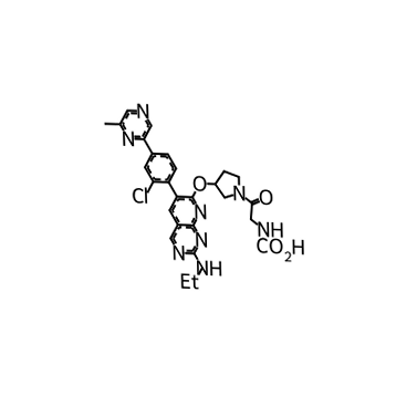 CCNc1ncc2cc(-c3ccc(-c4cncc(C)n4)cc3Cl)c(OC3CCN(C(=O)CNC(=O)O)C3)nc2n1